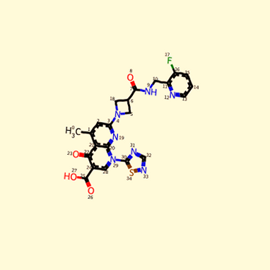 Cc1cc(N2CC(C(=O)NCc3ncccc3F)C2)nc2c1c(=O)c(C(=O)O)cn2-c1ncns1